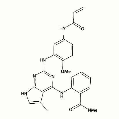 C=CC(=O)Nc1ccc(OC)c(Nc2nc(Nc3ccccc3C(=O)NC)c3c(C)c[nH]c3n2)c1